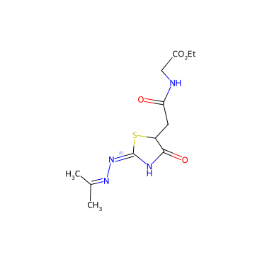 CCOC(=O)CNC(=O)CC1S/C(=N/N=C(C)C)NC1=O